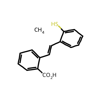 C.O=C(O)c1ccccc1C=Cc1ccccc1S